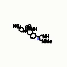 CN/C=C(\C=N)c1ccc2c(c1)NS(=O)(=O)N([C@@H]1CCN(C#N)C1)C2